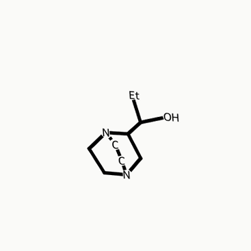 CCC(O)C1CN2CCN1CC2